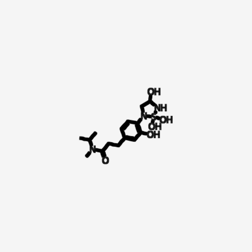 CC(C)N(C)C(=O)CCc1ccc(N2CC(O)NS2(O)O)c(O)c1